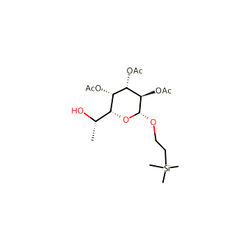 CC(=O)O[C@@H]1[C@H](OC(C)=O)[C@@H](OC(C)=O)[C@H](OCC[Si](C)(C)C)O[C@@H]1[C@H](C)O